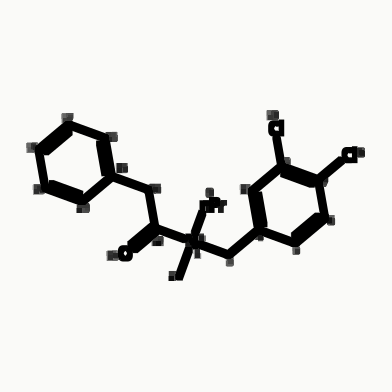 CCC[N+](C)(Cc1ccc(Cl)c(Cl)c1)C(=O)Cc1ccccc1